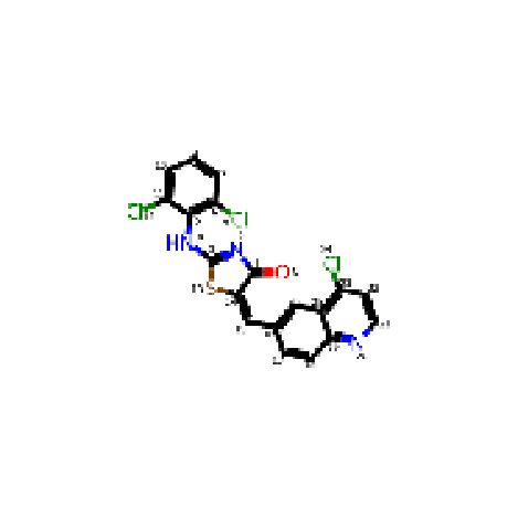 O=C1N=C(Nc2c(Cl)cccc2Cl)SC1=Cc1ccc2nccc(Cl)c2c1